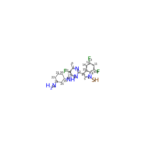 Cc1nc(-c2cn(S)c3c(F)cc(F)cc23)nc(N[C@@H]2CCC[C@@H](N)C2)c1F